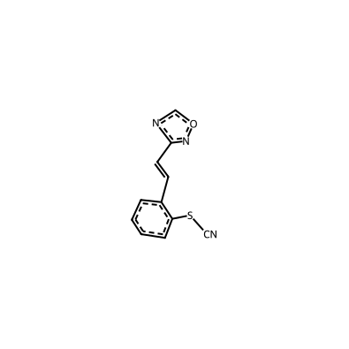 N#CSc1ccccc1C=Cc1ncon1